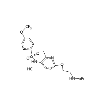 CCCNCCOc1ccc(NS(=O)(=O)c2ccc(OC(F)(F)F)cc2)c(C)n1.Cl